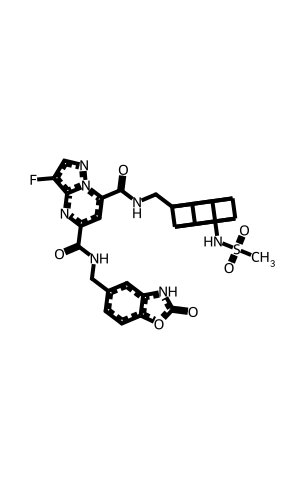 CS(=O)(=O)NC12C3C4C1C1C2C3C41CNC(=O)c1cc(C(=O)NCc2ccc3oc(=O)[nH]c3c2)nc2c(F)cnn12